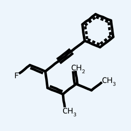 C=C(CC)/C(C)=C\C(C#Cc1ccccc1)=C/F